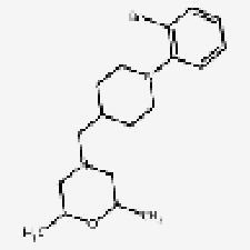 CC1CN(CC2CCN(c3[c]cccc3Br)CC2)CC(C)O1